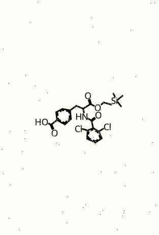 C[Si](C)(C)CCOC(=O)C(Cc1ccc(C(=O)O)cc1)NC(=O)c1c(Cl)cccc1Cl